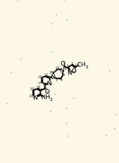 Cc1cc(C(=O)N2CCCN(c3cccc(C(=O)c4cccnc4N)n3)CC2)no1